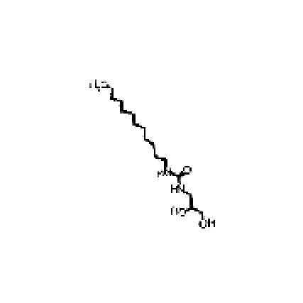 CCCCCCCCCCCCNC(=O)NCC(O)CO